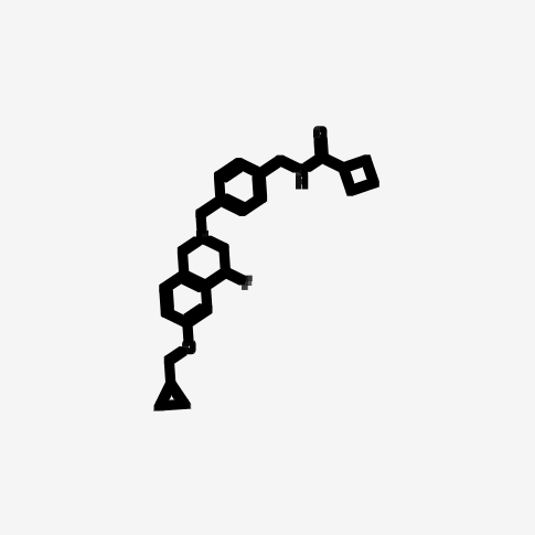 O=C(NCc1ccc(CN2Cc3ccc(OCC4CC4)cc3C(F)C2)cc1)C1CCC1